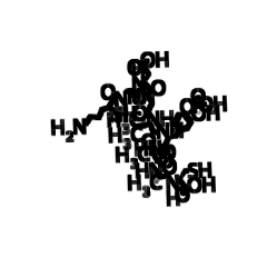 CC(C)[C@H](NC(=O)CNC(=O)[C@H](CC(=O)O)NC(=O)CNC(=O)[C@@H](N)CCCCN)C(=O)N[C@@H](Cc1ccc(OP(=O)(O)O)cc1)C(=O)N[C@@H](C)C(=O)N[C@@H](C)C(=O)N[C@@H](CS)C(=O)O